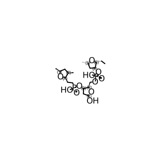 CC[C@H]1O[C@@H](C)C[C@H]1OP(=O)(O)OC[C@H]1O[C@@H](O)C[C@H]1OP(=O)(O)CC[C@H]1O[C@@H](C)C[C@H]1C